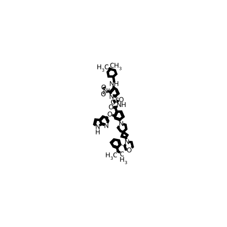 CC(C)c1ccccc1[C@H]1COCCN1C1CC2(CCN(c3ccc(C(=O)NS(=O)(=O)c4ccc(NCC5CCC(C)(C)CC5)c([N+](=O)[O-])n4)c(Oc4cnc5[nH]ccc5c4)c3)CC2)C1